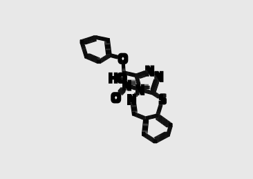 O=[N+](O)[N+]12N=Cc3ccccc3SC1=NN=C2COc1ccccc1